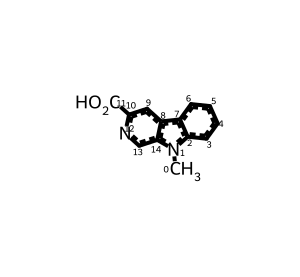 Cn1c2ccccc2c2cc(C(=O)O)ncc21